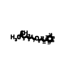 CN(C)CCCCCOCC=Cc1ccccc1